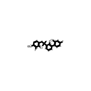 CC(C)(C)c1ccc(CC(C)(C)c2cccc(-c3ccc(F)cc3Cl)c2F)c(Cl)c1F